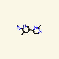 C=Nc1ncc(-c2ccnc(C)n2)cc1C